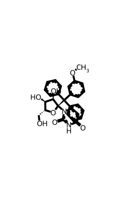 COc1cccc(C(c2ccccc2)(c2ccccc2)[C@@]2(n3ccc(=O)[nH]c3=O)O[C@H](CO)[C@@H](O)[C@H]2O)c1